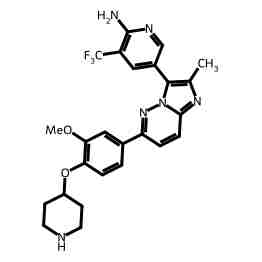 COc1cc(-c2ccc3nc(C)c(-c4cnc(N)c(C(F)(F)F)c4)n3n2)ccc1OC1CCNCC1